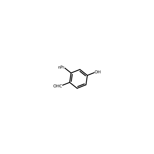 CCCc1cc(O)ccc1C=O